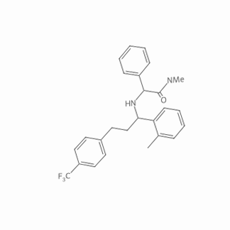 CNC(=O)C(NC(CCc1ccc(C(F)(F)F)cc1)c1ccccc1C)c1ccccc1